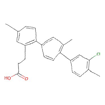 Cc1ccc(-c2ccc(-c3ccc(C)c(Cl)c3)c(C)c2)c(CCC(=O)O)c1